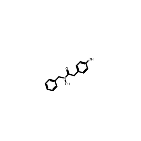 O=C(Cc1ccc(O)cc1)N(O)Cc1ccccc1